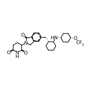 O=C1CCC(N2Cc3cc(C[C@H]4CCCC[C@@H]4N[C@H]4CC[C@@H](OC(F)(F)F)CC4)ccc3C2=O)C(=O)N1